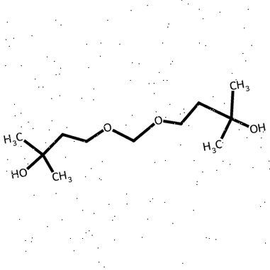 CC(C)(O)CCOCOCCC(C)(C)O